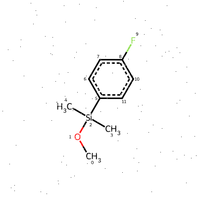 CO[Si](C)(C)c1ccc(F)cc1